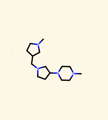 CN1CCN(C2CCN(CC3CCN(C)C3)C2)CC1